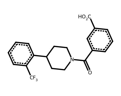 O=C(O)c1cccc(C(=O)N2CCC(c3ccccc3C(F)(F)F)CC2)c1